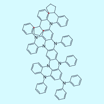 c1ccc(N(c2ccccc2)c2cc3c4c(c2)n(-c2ccccc2)c2cc5c(cc2n4c2ccccc2n3-c2ccccc2)n2c3ccccc3n(-c3ccccc3)c3cc(N(c4ccccc4C4CCCC4)c4ccccc4C4CCCC4)cc(c32)n5-c2ccccc2)cc1